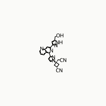 N#CC[C@]1(n2ccc(-c3nc(-c4cc(CO)[nH]n4)cc4ncccc34)n2)C[C@@H](C#N)C1